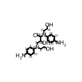 Nc1ccc(N(CCO)CC(O)C(Cl)N(CCO)c2ccc(N)cc2)cc1